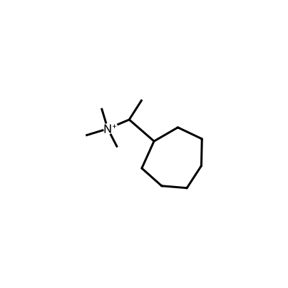 CC(C1CCCCCC1)[N+](C)(C)C